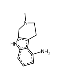 CN1CCc2c([nH]c3cccc(N)c23)C1